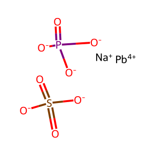 O=P([O-])([O-])[O-].O=S(=O)([O-])[O-].[Na+].[Pb+4]